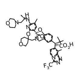 Cc1ccc([C@H](c2ccn3c(C(F)(F)F)nnc3c2C)C(C)(C)C(=O)O)cc1CN1CC2(CCOCC2)Oc2nc(N[C@H](C)CN3CCOCC3)c(C)cc2S1(=O)=O